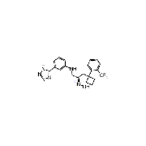 O/N=C(/CNc1cccc(-c2nnn[nH]2)c1)CC1(c2ccccc2C(F)(F)F)CCC1